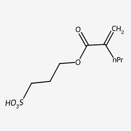 C=C(CCC)C(=O)OCCCS(=O)(=O)O